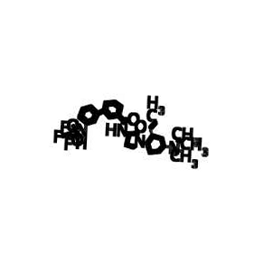 CCC[C@@H]1C[C@H](N(C)C(C)C)CC[C@@H]1N1CC[C@H](NC(=O)c2cccc(-c3cccc(NS(=O)(=O)C(F)(F)F)c3)c2)C1=O